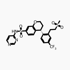 CS(=O)(=O)CCc1cc(C(F)(F)F)ccc1[C@H]1CCOc2cc(S(=O)(=O)Nc3ccncn3)ccc21